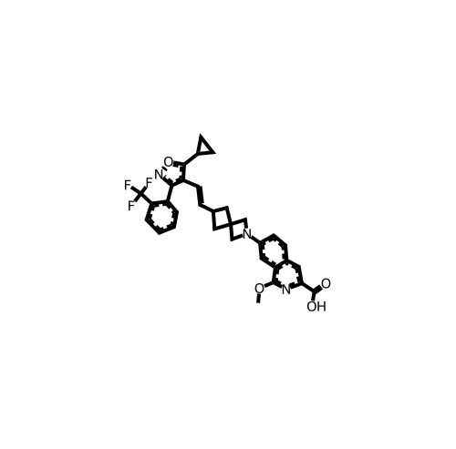 COc1nc(C(=O)O)cc2ccc(N3CC4(CC(C=Cc5c(-c6ccccc6C(F)(F)F)noc5C5CC5)C4)C3)cc12